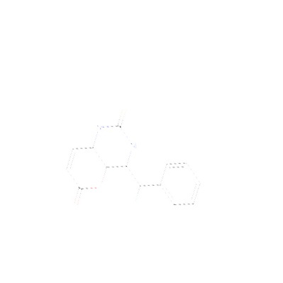 O=C1C=CC2NC(=S)NC(C(F)c3ccccc3)C2O1